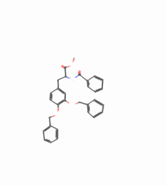 COC(=O)C(Cc1ccc(OCc2ccccc2)c(OCc2ccccc2)c1)NC(=O)c1ccccc1